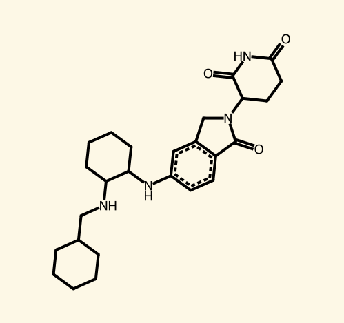 O=C1CCC(N2Cc3cc(NC4CCCCC4NCC4CCCCC4)ccc3C2=O)C(=O)N1